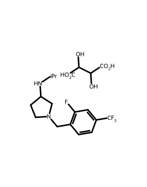 CC(C)NC1CCN(Cc2ccc(C(F)(F)F)cc2F)C1.O=C(O)C(O)C(O)C(=O)O